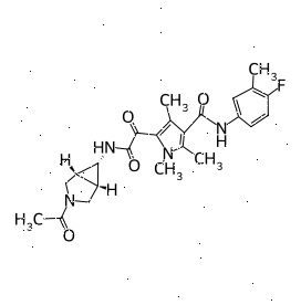 CC(=O)N1C[C@@H]2[C@H](C1)[C@@H]2NC(=O)C(=O)c1c(C)c(C(=O)Nc2ccc(F)c(C)c2)c(C)n1C